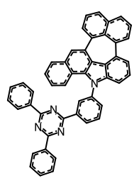 c1ccc(-c2nc(-c3ccccc3)nc(-c3cccc(-n4c5cccc6c5c5c(cc7ccccc7c54)-c4cccc5cccc-6c45)c3)n2)cc1